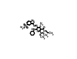 CCCOC(=O)c1c(N(CC)CC)nc(NC2CCCCC2)c(N=Nc2snc3ccc(S(C)(=O)=O)cc23)c1C